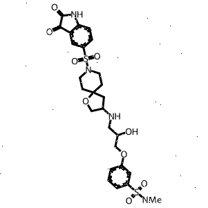 CNS(=O)(=O)c1cccc(OCC(O)CNC2COC3(CCN(S(=O)(=O)c4ccc5c(c4)C(=O)C(=O)N5)CC3)C2)c1